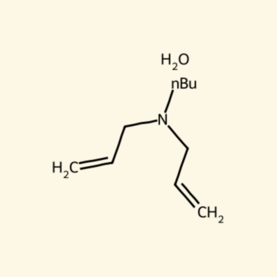 C=CCN(CC=C)CCCC.O